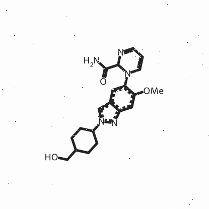 COc1cc2nn(C3CCC(CO)CC3)cc2cc1N1C=CC=NC1C(N)=O